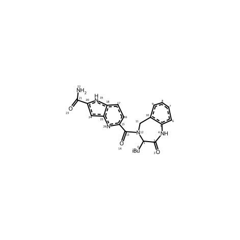 CCC(C)C1C(=O)Nc2ccccc2CN1C(=O)c1ccc2[nH]c(C(N)=O)cc2n1